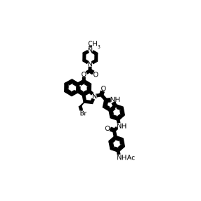 CC(=O)Nc1ccc(C(=O)Nc2ccc3[nH]c(C(=O)N4C[C@@H](CBr)c5c4cc(OC(=O)N4CCN(C)CC4)c4ccccc54)cc3c2)cc1